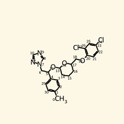 Cc1ccc(C(Cn2cncn2)OC2CCCC(COc3ccc(Cl)cc3Cl)O2)cc1